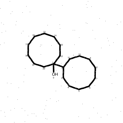 OC1(C2CCCCCCCCC2)CCCCCCCCC1